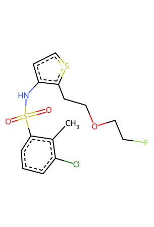 Cc1c(Cl)cccc1S(=O)(=O)Nc1ccsc1CCOCCF